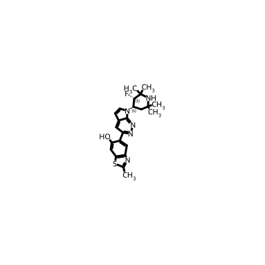 Cc1nc2cc(-c3cc4ccn([C@H]5CC(C)(C)NC(C)(C)[C@H]5F)c4nn3)c(O)cc2s1